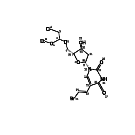 CCOC(CCl)OC[C@H]1O[C@@H](n2cc(C=CBr)c(=O)[nH]c2=O)C[C@@H]1O